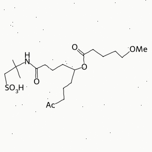 COCCCCC(=O)OC(CCCC(C)=O)CCCC(=O)NC(C)(C)CS(=O)(=O)O